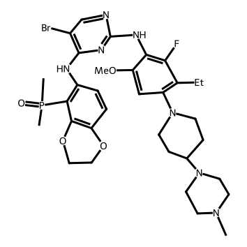 CCc1c(N2CCC(N3CCN(C)CC3)CC2)cc(OC)c(Nc2ncc(Br)c(Nc3ccc4c(c3P(C)(C)=O)OCCO4)n2)c1F